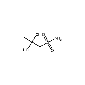 CC(O)(Cl)CS(N)(=O)=O